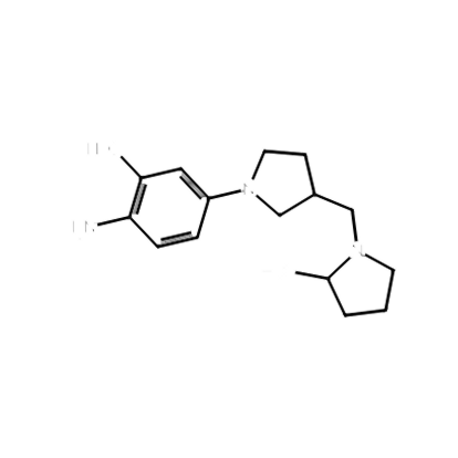 Cc1cc(N2CCC(CN3CCCC3C)C2)ccc1N